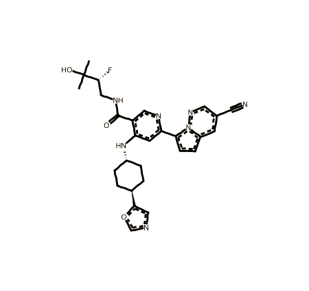 CC(C)(O)[C@H](F)CNC(=O)c1cnc(-c2ccc3cc(C#N)cnn23)cc1N[C@H]1CC[C@H](c2cnco2)CC1